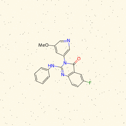 COc1cncc(-n2c(Nc3ccccc3)nc3ccc(F)cc3c2=O)c1